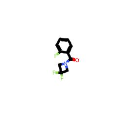 O=C(c1cc[c]cc1F)N1CC(F)(F)C1